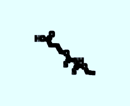 CCOC(=S)NC(=S)OCCCC(=O)O